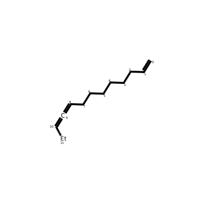 C=CCCCCCCC=C=CCC